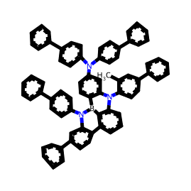 Cc1cc(-c2ccccc2)ccc1N1c2cc(N(c3ccc(-c4ccccc4)cc3)c3ccc(-c4ccccc4)cc3)ccc2B2c3c(cccc31)-c1ccc(-c3ccccc3)cc1N2c1ccc(-c2ccccc2)cc1